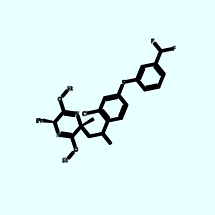 CCOC1=N[C@](C)(CC(C)c2ccc(Sc3cccc(C(F)F)c3)cc2Cl)C(OCC)=N[C@H]1C(C)C